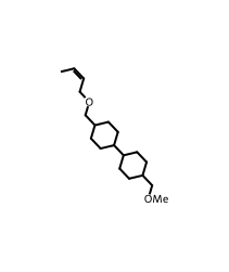 C/C=C\COCC1CCC(C2CCC(COC)CC2)CC1